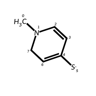 CN1C=CC([S])=CC1